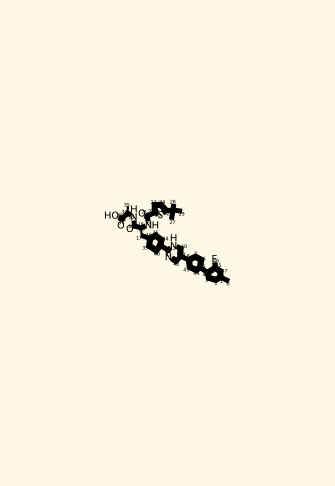 Cc1ccc(-c2ccc(C3=CNC(c4ccc(C[C@H](NC(=O)c5ccc(C(C)(C)C)s5)C(=O)N[C@H](C)C(=O)O)cc4)N=C3)cc2)c(F)c1